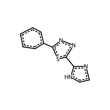 c1ccc(-c2nnc(-c3ncc[nH]3)s2)cc1